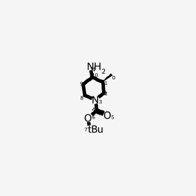 C[C@H]1CN(C(=O)OC(C)(C)C)CCC1N